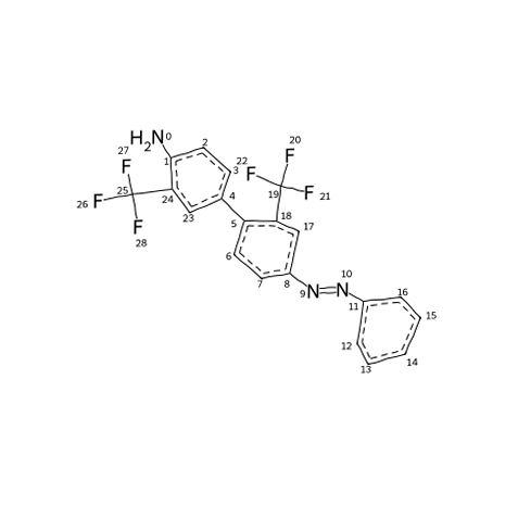 Nc1ccc(-c2ccc(/N=N/c3ccccc3)cc2C(F)(F)F)cc1C(F)(F)F